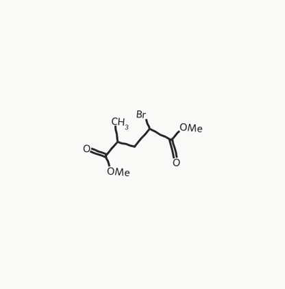 COC(=O)C(C)CC(Br)C(=O)OC